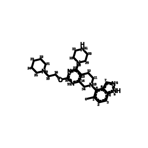 Cc1ccc2[nH]ncc2c1N1CCc2c(nc(OCCN3CCCCC3)nc2N2CCNCC2)C1